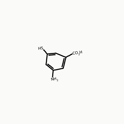 Nc1cc(S)cc(C(=O)O)c1